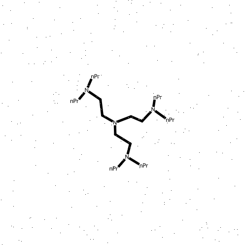 CCCN(CCC)CCN(CCN(CCC)CCC)CCN(CCC)CCC